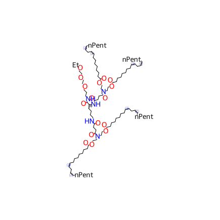 CCCCC/C=C\C/C=C\CCCCCCCC(=O)OCCN(CCOC(=O)CCCCCCC/C=C\C/C=C\CCCCC)C(=O)CCC(=O)NCCCC[C@H](NC(=O)CCC(=O)N(CCOC(=O)CCCCCCC/C=C\C/C=C\CCCCC)CCOC(=O)CCCCCCC/C=C\C/C=C\CCCCC)C(=O)NCCCOCCOCCOCC